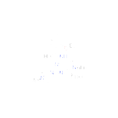 CCOc1ccccc1C(C)Nc1nc(N2CCN(C(C)=O)CC2)nc2c1CN(C(C)C)[C@H]2C=O